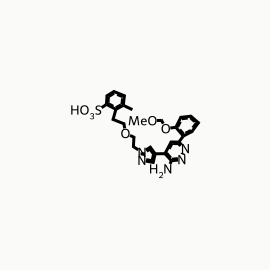 COCOc1ccccc1-c1cc(-c2cnn(CCOCCc3c(C)cccc3S(=O)(=O)O)c2)c(N)nn1